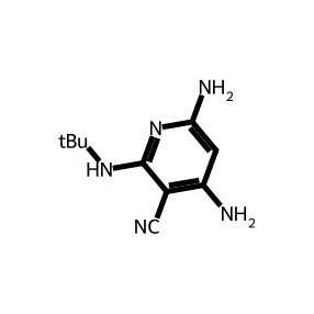 CC(C)(C)Nc1nc(N)cc(N)c1C#N